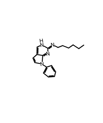 CCCCCCN=c1nc2c(ccn2-c2ccccc2)c[nH]1